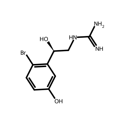 N=C(N)NC[C@H](O)c1cc(O)ccc1Br